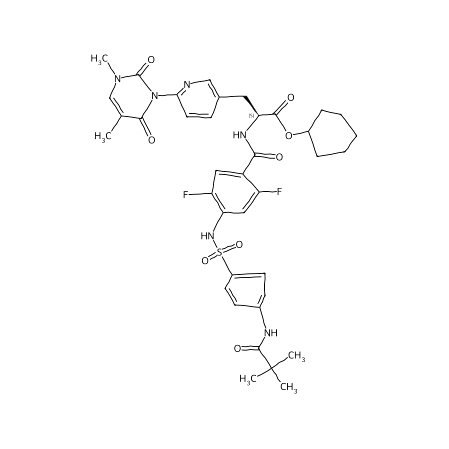 Cc1cn(C)c(=O)n(-c2ccc(C[C@H](NC(=O)c3cc(F)c(NS(=O)(=O)c4ccc(NC(=O)C(C)(C)C)cc4)cc3F)C(=O)OC3CCCCC3)cn2)c1=O